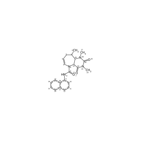 CC1CC=CN(C(=O)Nc2cccc3ccccc23)C2C(=O)N(C)C(=O)N(C)C12